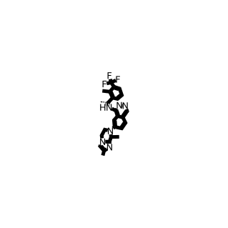 Cc1cn2c(n1)C(C)N(c1ccc3cnnc(N[C@H](C)c4cccc(C(F)(F)F)c4C)c3c1)CC2